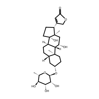 C[C@@H]1O[C@@H](O[C@H]2CC[C@@]3(C)[C@@H](CC[C@@H]4[C@@H]3[C@@H](O)C[C@]3(C)[C@@H](C5=CC(=O)OC5)CC[C@]43O)C2)[C@H](O)[C@H](O)[C@H]1O